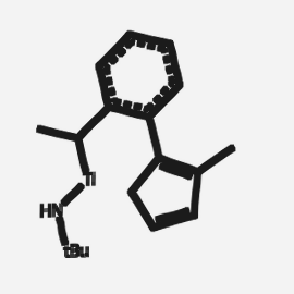 CC1=C(c2ccccc2[CH](C)[Ti][NH]C(C)(C)C)CC=C1